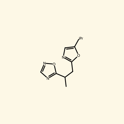 CC(C)c1cnc(CC(C)c2ncno2)o1